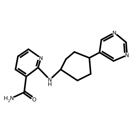 NC(=O)c1cccnc1NC1CCC(c2cncnc2)CC1